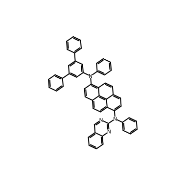 c1ccc(-c2cc(-c3ccccc3)cc(N(c3ccccc3)c3ccc4ccc5c(N(c6ccccc6)c6ncc7ccccc7n6)ccc6ccc3c4c65)c2)cc1